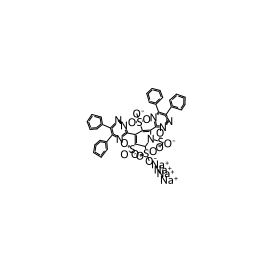 O=S(=O)([O-])C1=C(c2nnc(-c3ccccc3)c(-c3ccccc3)n2)N(S(=O)(=O)[O-])C(S(=O)(=O)[O-])C(S(=O)(=O)[O-])=C1c1nnc(-c2ccccc2)c(-c2ccccc2)n1.[Na+].[Na+].[Na+].[Na+]